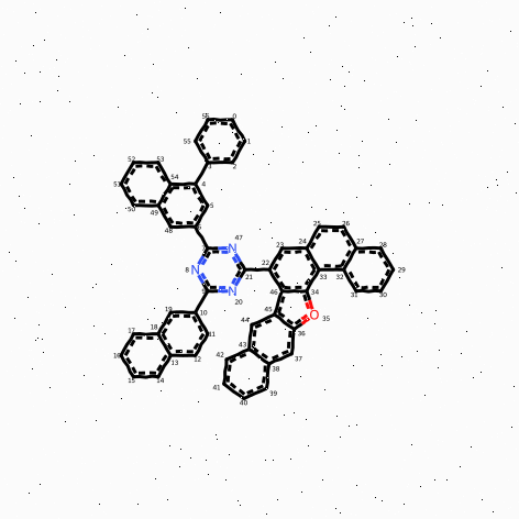 c1ccc(-c2cc(-c3nc(-c4ccc5ccccc5c4)nc(-c4cc5ccc6ccccc6c5c5oc6cc7ccccc7cc6c45)n3)cc3ccccc23)cc1